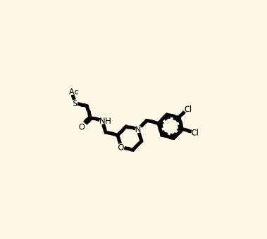 CC(=O)SCC(=O)NCC1CN(Cc2ccc(Cl)c(Cl)c2)CCO1